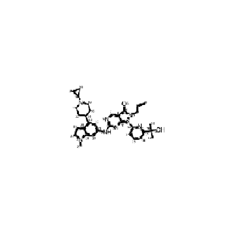 C=CCn1c(=O)c2cnc(Nc3cc(C4CCN(C5CC5)CC4)c4ccn(C)c4c3)nc2n1-c1cccc(C(C)(C)O)n1